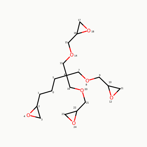 C(CC1CO1)CC(COCC1CO1)(COCC1CO1)COCC1CO1